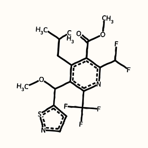 COC(=O)c1c(C(F)F)nc(C(F)(F)F)c(C(OC)c2ccns2)c1CC(C)C